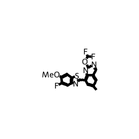 COc1cc2sc(-c3cc(C)cc4cnc(OC(F)F)nc34)nc2cc1F